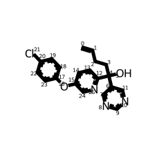 C=CCCC(O)(c1cncnc1)c1ccc(Oc2ccc(Cl)cc2)cn1